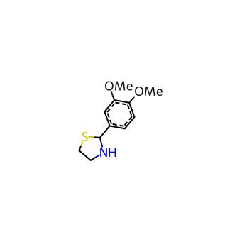 COc1ccc(C2NCCS2)cc1OC